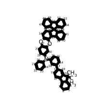 CC1(C)c2ccccc2-c2ccc(-c3cccc(N(c4ccccc4)c4ccc5c(c4)Oc4c(ccc6c4-c4ccccc4C64c6ccccc6-c6ccccc64)O5)c3)cc21